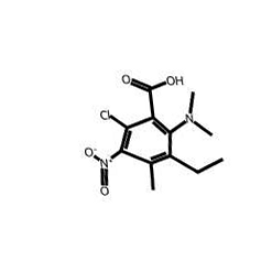 CCc1c(C)c([N+](=O)[O-])c(Cl)c(C(=O)O)c1N(C)C